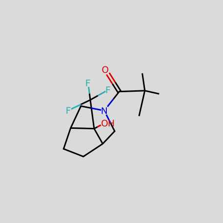 CC(C)(C)C(=O)N1CC2CCC(C1)C2(O)C(F)(F)F